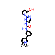 COc1ccc(-c2cccc(NC(=O)Nc3ccnc(N4CCC[C@H]4CO)n3)c2)cn1